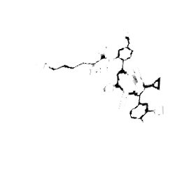 N#Cc1ccc(-c2cc(=O)[nH]c3c(-c4ccc(Cl)c(Cl)c4)c(C4CC4)nn23)c(OC(=O)[C@@H](N)CCCCN)c1